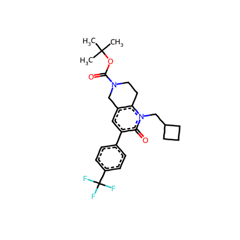 CC(C)(C)OC(=O)N1CCc2c(cc(-c3ccc(C(F)(F)F)cc3)c(=O)n2CC2CCC2)C1